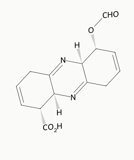 O=CO[C@@H]1C=CCC2=N[C@@H]3C(=N[C@H]21)CC=C[C@H]3C(=O)O